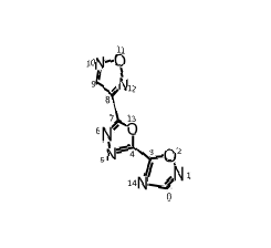 [c]1noc(-c2nnc(-c3cnon3)o2)n1